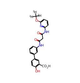 [2H]C([2H])([2H])Oc1cccc(NC(=O)CC(=O)Nc2cccc(-c3ccc(O)c(C(=O)O)c3)c2)n1